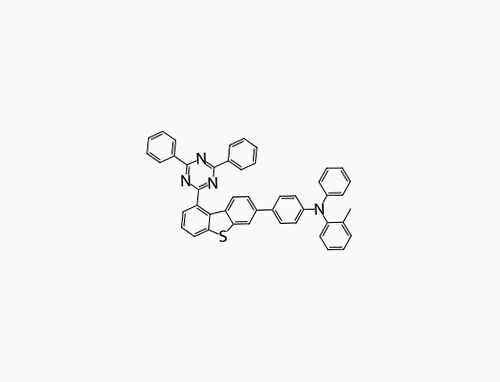 Cc1ccccc1N(c1ccccc1)c1ccc(-c2ccc3c(c2)sc2cccc(-c4nc(-c5ccccc5)nc(-c5ccccc5)n4)c23)cc1